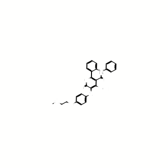 COCCOc1ccc(Sc2c(O)c3c(=O)n(-c4ccccc4)c4ccccc4c3oc2=O)cc1